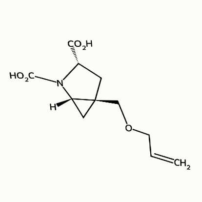 C=CCOC[C@@]12C[C@@H]1N(C(=O)O)[C@H](C(=O)O)C2